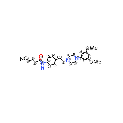 COc1cc(OC)cc(N2CCN(CCC3CCC(NC(=O)CCCC#N)CC3)CC2)c1